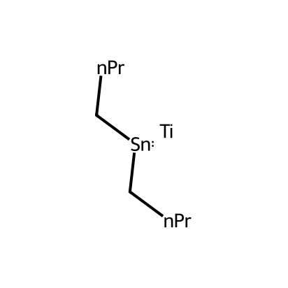 CCC[CH2][Sn][CH2]CCC.[Ti]